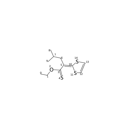 CCOC(=S)C(CC(C)C)=C1SC=CS1